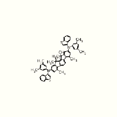 Cc1cc(C)cc(N(c2cc(C)c3c(c2)C(C)(C)c2c-3ccc3c2C(C)(C)c2cc(N(c4cc(C)cc(C)c4)c4csc5ccccc45)cc(C)c2-3)c2csc3ccccc23)c1